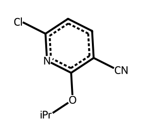 CC(C)Oc1nc(Cl)ccc1C#N